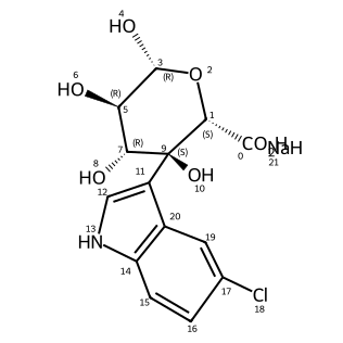 O=C(O)[C@H]1O[C@@H](O)[C@H](O)[C@@H](O)[C@@]1(O)c1c[nH]c2ccc(Cl)cc12.[NaH]